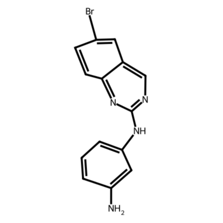 Nc1cccc(Nc2ncc3cc(Br)ccc3n2)c1